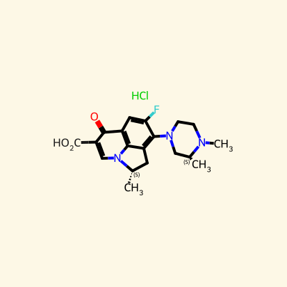 C[C@H]1CN(c2c(F)cc3c(=O)c(C(=O)O)cn4c3c2C[C@@H]4C)CCN1C.Cl